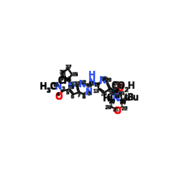 CN(C)C(=O)c1cc2cnc(Nc3ccc(C(=O)N4[C@@H]5COC[C@@]4(C(C)(C)C)CN(C(=O)O)C5)cn3)nc2n1C1CCCC1